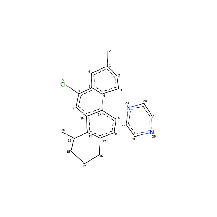 Cc1ccc2c(c1)c(Cl)cc1c3c(ccc12)CCCC3C.c1cnccn1